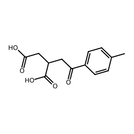 Cc1ccc(C(=O)CC(CC(=O)O)C(=O)O)cc1